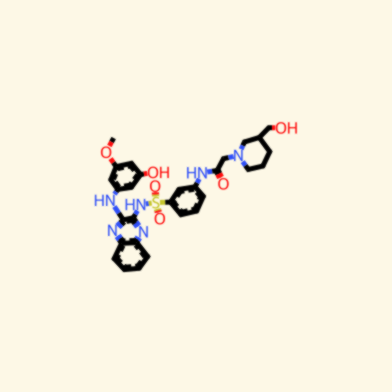 COc1cc(O)cc(Nc2nc3ccccc3nc2NS(=O)(=O)c2cccc(NC(=O)CN3CCCC(CO)C3)c2)c1